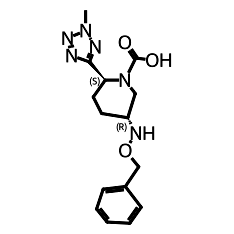 Cn1nnc([C@@H]2CC[C@@H](NOCc3ccccc3)CN2C(=O)O)n1